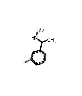 CCC(C)NC(C)c1cccc(F)c1